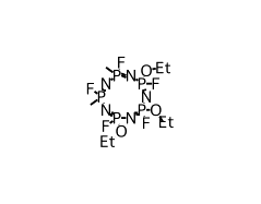 CCOP1(F)=NP(C)(F)=NP(C)(F)=NP(F)(OCC)=NP(F)(OCC)=N1